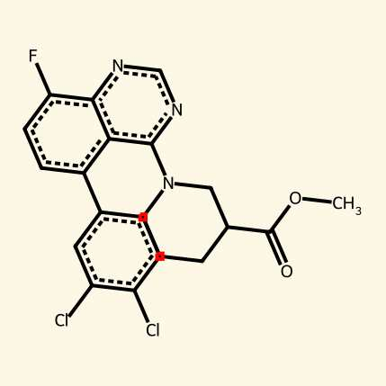 COC(=O)C1CCCN(c2ncnc3c(F)ccc(-c4ccc(Cl)c(Cl)c4)c23)C1